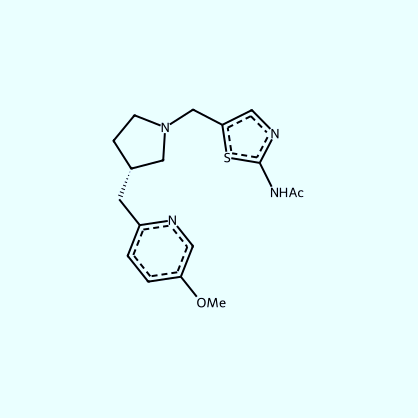 COc1ccc(C[C@@H]2CCN(Cc3cnc(NC(C)=O)s3)C2)nc1